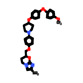 O=[N+]([O-])c1cn2c(n1)OC(COc1ccc(N3CCC(Oc4ccc(Oc5ccc(OC(F)(F)F)cc5)cc4)CC3)cc1)CC2